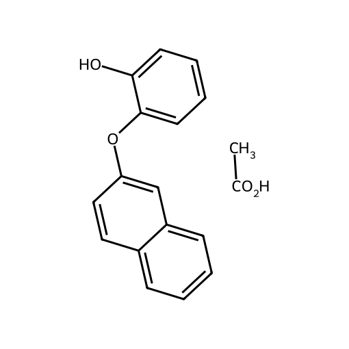 CC(=O)O.Oc1ccccc1Oc1ccc2ccccc2c1